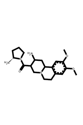 COc1cc2c(cc1OC)C1CC(N)C(C(=O)N3CCC[C@H]3N)CN1CC2